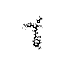 C=C(C)CC(CCC)CC/C(=C\C(=O)NC[C@H](O)CN1C/C=C/C=C(OCC)\C(Cl)=C\CC1)C(C)NC1CC(C(F)F)C1